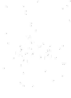 O=C(O)CC(CC(=O)O)(OC(=O)C(O)C(O)C(=O)O)C(=O)O